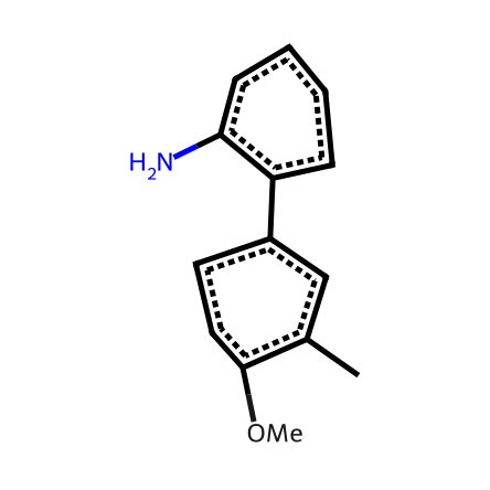 COc1ccc(-c2ccccc2N)cc1C